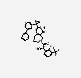 O=C([C@H](O)c1cccc(C(F)(F)F)c1F)N1CCCc2nc(C3(c4cncc(-c5ccccc5)c4)CC3)[nH]c(=O)c2C1